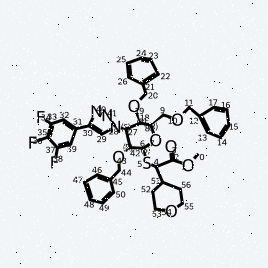 COC(=O)C(S[C@@H]1O[C@H](COCc2ccccc2)[C@H](OCc2ccccc2)[C@H](n2cc(-c3cc(F)c(F)c(F)c3)nn2)[C@H]1OCc1ccccc1)C1CCOCC1